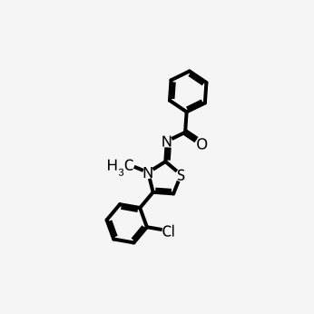 Cn1c(-c2ccccc2Cl)csc1=NC(=O)c1ccccc1